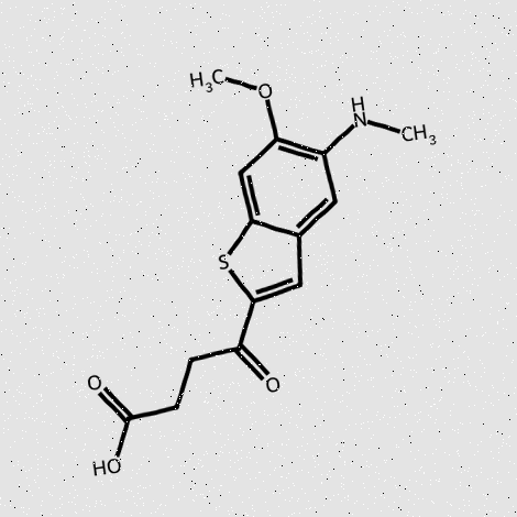 CNc1cc2cc(C(=O)CCC(=O)O)sc2cc1OC